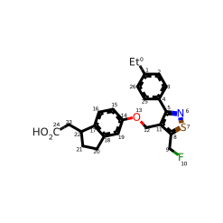 CCc1ccc(-c2nsc(CF)c2COc2ccc3c(c2)CCC3CC(=O)O)cc1